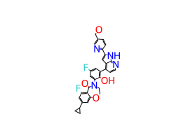 O=Cc1ccc(-c2cc3c(-c4cc(F)cc(N5CCOc6cc(C7CC7)cc(F)c6C5=O)c4O)ccnc3[nH]2)nc1